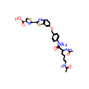 CC(=O)NCCCCC(NC(C)=O)C(=O)Nc1ccc(COc2ccc3nc(C4=N[C@@H](C(=O)O)CS4)sc3c2)cc1